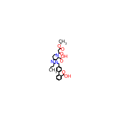 CCCc1nc2c(n1Cc1ccc(-c3ccccc3C(=O)O)cc1)C(C(=O)O)N(C(=O)CC(=O)OCC)CC2